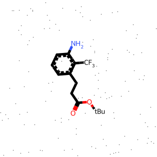 CC(C)(C)OC(=O)CCc1cccc(N)c1C(F)(F)F